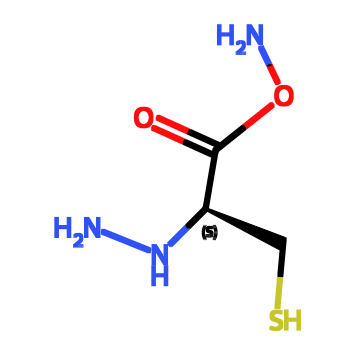 NN[C@H](CS)C(=O)ON